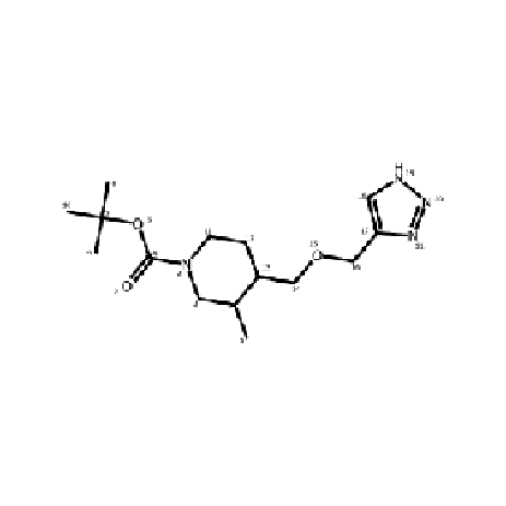 CC1CN(C(=O)OC(C)(C)C)CCC1COCc1c[nH]nn1